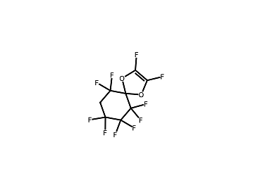 FC1=C(F)OC2(O1)C(F)(F)CC(F)(F)C(F)(F)C2(F)F